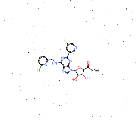 CNC(=O)C1OC(n2cnc3c(NCc4cccc(Cl)n4)nc(-c4cncc(F)c4)nc32)C(O)C1O